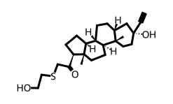 C#C[C@@]1(O)CC[C@@]2(C)[C@H](CC[C@@H]3[C@@H]2CC[C@]2(C)[C@@H](C(=O)CSCCO)CC[C@@H]32)C1